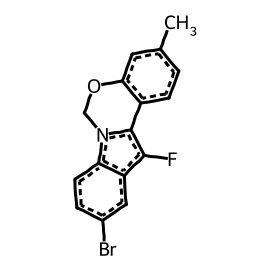 Cc1ccc2c(c1)OCn1c-2c(F)c2cc(Br)ccc21